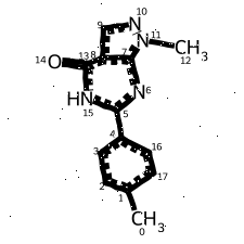 Cc1ccc(-c2nc3c(cnn3C)c(=O)[nH]2)cc1